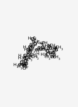 CCC(CC)c1cccc(OC(=O)NC)c1.CCCC(C)c1cccc(OC(=O)NC)c1.CNC(=O)Oc1cc(C(C)(C)C)cc(C(C)(C)C)c1.CNC(=O)Oc1cc(C)c(C)cc1Cl.CNC(=O)Oc1ccc(N(C)C)c(C)c1.CNC(=O)Oc1ccccc1OC(CCl)OC